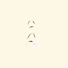 Cc1ccc(Sc2ccc(C)c(N)c2)cc1